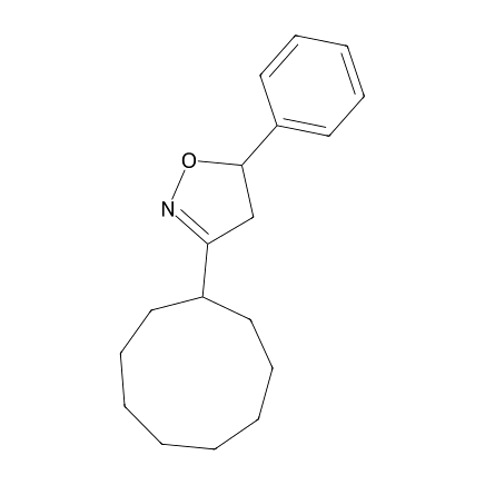 c1ccc(C2CC(C3CCCCCCCC3)=NO2)cc1